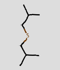 CC(C)[CH]S[CH]C(C)C